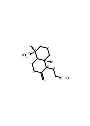 C=C1CCC2[C@](C)(CCC[C@]2(C)C(=O)O)C1CCC=O